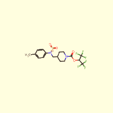 Cc1ccc(N(CC2CCN(C(=O)OC(C(F)(F)F)C(F)(F)F)CC2)[SH](=O)=O)cc1